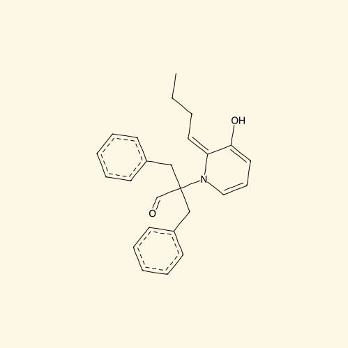 CCC/C=C1\C(O)=CC=CN1C(C=O)(Cc1ccccc1)Cc1ccccc1